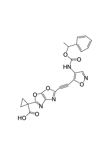 CC(OC(=O)Nc1cnoc1C#Cc1nc2nc(C3(C(=O)O)CC3)oc2o1)c1ccccc1